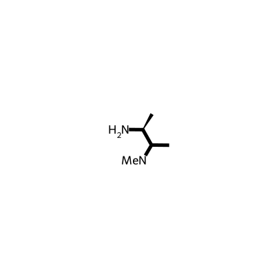 CNC(C)[C@H](C)N